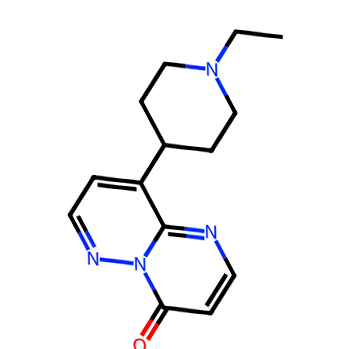 CCN1CCC(c2ccnn3c(=O)ccnc23)CC1